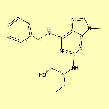 CCC(CO)Nc1nc(NCc2ccccc2)c2ncn(C)c2n1